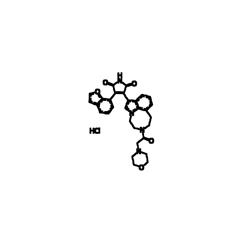 Cl.O=C1NC(=O)C(c2cccc3ccoc23)=C1c1cn2c3c(cccc13)CCN(C(=O)CN1CCOCC1)CC2